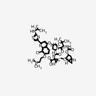 CC[C@@H]1CC1(NC(=O)[C@@H]1C[C@@H](Oc2cc(-c3csc(NC(C)C)n3)nc3c(Cl)c(OCCN(C)C)ccc23)CN1C(=O)[C@@H](NC(=O)O[C@@H]1C[C@@H]2C[C@@H]2C1)C(C)(C)C)C(=O)O